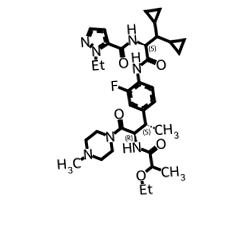 CCOC(C)C(=O)N[C@@H](C(=O)N1CCN(C)CC1)[C@@H](C)c1ccc(NC(=O)[C@@H](NC(=O)c2ccnn2CC)C(C2CC2)C2CC2)c(F)c1